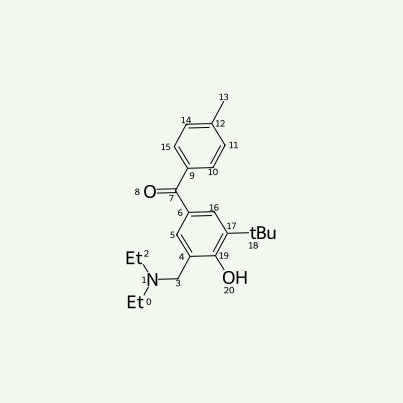 CCN(CC)Cc1cc(C(=O)c2ccc(C)cc2)cc(C(C)(C)C)c1O